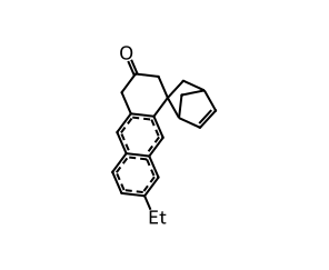 CCc1ccc2cc3c(cc2c1)C1(CC(=O)C3)CC2C=CC1C2